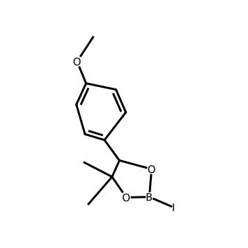 COc1ccc(C2OB(I)OC2(C)C)cc1